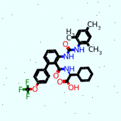 Cc1cc(C)c(NC(=O)Nc2cccc(-c3ccc(OC(F)(F)F)cc3)c2C(=O)N[C@H](C(=O)O)C2CCCCC2)c(C)c1